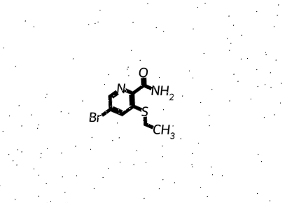 CCSc1cc(Br)cnc1C(N)=O